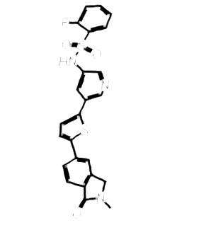 CN1Cc2cc(-c3ccc(-c4cncc(NS(=O)(=O)c5ccccc5F)c4)s3)ccc2C1=O